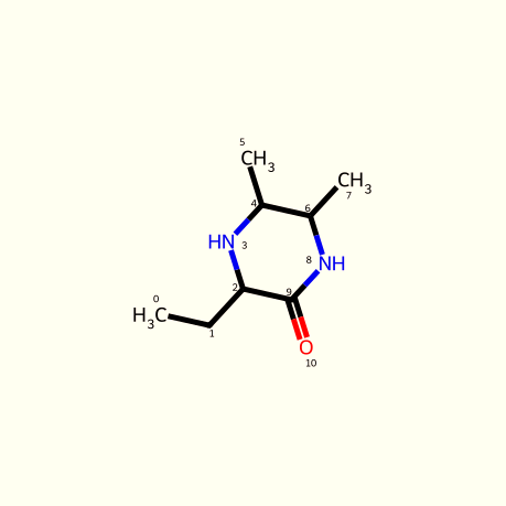 CCC1NC(C)C(C)NC1=O